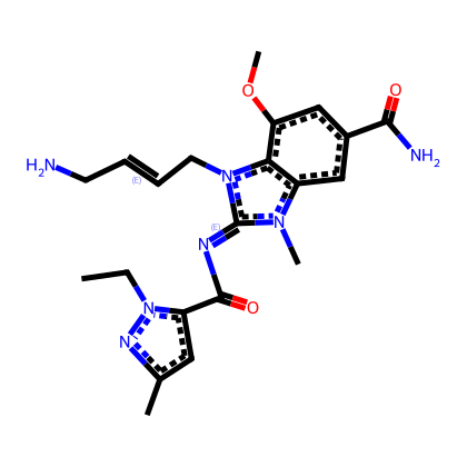 CCn1nc(C)cc1C(=O)/N=c1\n(C)c2cc(C(N)=O)cc(OC)c2n1C/C=C/CN